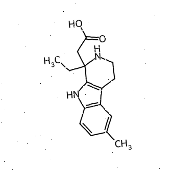 CCC1(CC(=O)O)NCCc2c1[nH]c1ccc(C)cc21